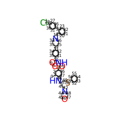 Cc1cc(S(=O)(=O)NC(=O)c2ccc(C3CCN(Cc4ccccc4-c4ccc(Cl)cc4)CC3)cc2)ccc1N[C@H](CCN1CCOCC1)CSc1ccccc1